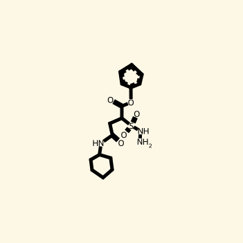 NNS(=O)(=O)C(CC(=O)NC1CCCCC1)C(=O)Oc1ccccc1